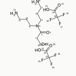 CCCCCCCCCCCC(=O)N(CCCN)CCCN.O=C(O)C(F)(F)F.O=C(O)C(F)(F)F